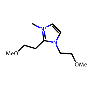 COCCc1n(CCOC)cc[n+]1C